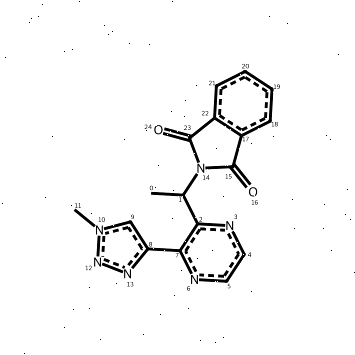 CC(c1nccnc1-c1cn(C)nn1)N1C(=O)c2ccccc2C1=O